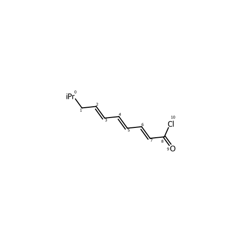 CC(C)C/C=C/C=C/C=C/C(=O)Cl